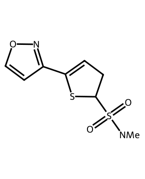 CNS(=O)(=O)C1CC=C(c2ccon2)S1